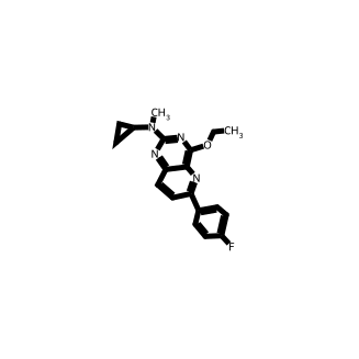 CCOc1nc(N(C)C2CC2)nc2ccc(-c3ccc(F)cc3)nc12